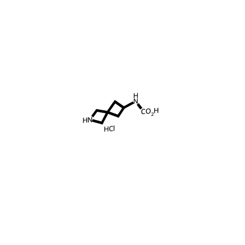 Cl.O=C(O)NC1CC2(CNC2)C1